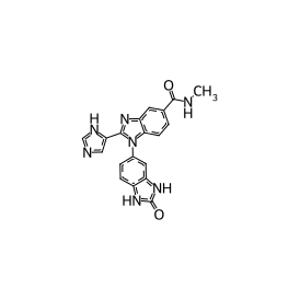 CNC(=O)c1ccc2c(c1)nc(-c1cnc[nH]1)n2-c1ccc2[nH]c(=O)[nH]c2c1